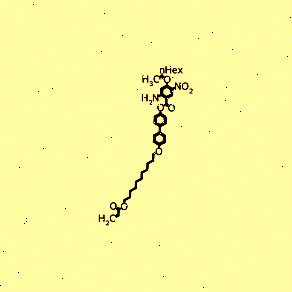 C=CC(=O)OCCCCCCCCCCCOc1ccc(-c2ccc(OC(=O)c3cc([N+](=O)[O-])c(O[C@H](C)CCCCCC)cc3N)cc2)cc1